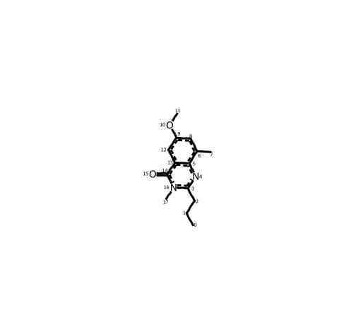 CCCc1nc2c(C)cc(OC)cc2c(=O)n1C